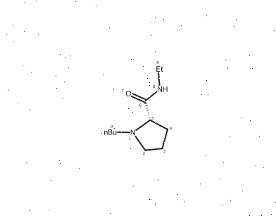 CCCCN1CCC[C@H]1C(=O)NCC